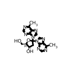 Cc1ncnc2c1ncn2C1(n2cnc3c(C)ncnc32)C[C@H](O)[C@@H](CO)O1